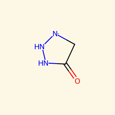 O=C1C[N]NN1